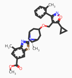 COC(=O)c1cc(C)c2nc(N3C4CC(OCc5c(-c6ccccc6C)noc5C5CC5)CC3[C@H](C)C4)sc2c1